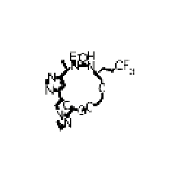 CCN1C(=O)N[C@@H](CCC(F)(F)F)CCCCCOc2cc(cn3ccnc23)-c2cc(ncn2)C1C